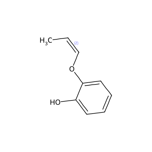 C/C=C\Oc1ccccc1O